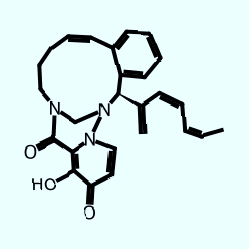 C=C(/C=C\C=C/C)[C@@H]1c2ccccc2/C=C\CCCN2CN1n1ccc(=O)c(O)c1C2=O